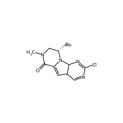 CCC(C)[C@H]1CN(C)C(=O)C2=CC3C=NC(Cl)=NC3N21